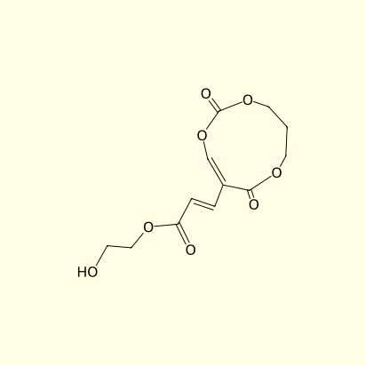 O=C(C=CC1=COC(=O)OCCCOC1=O)OCCO